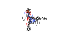 C=C[C@@H]1C[C@]1(NC(=O)[C@@H]1C[C@@H](Oc2nccc3cc(OC)ccc23)CN1C(=O)[C@H](CCC(=O)C=Cc1ccccc1)NC(=O)O)C(=O)NS(=O)(=O)C1CC1